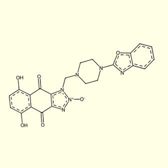 O=C1c2n[n+]([O-])n(CN3CCN(c4nc5ccccc5o4)CC3)c2C(=O)c2c(O)ccc(O)c21